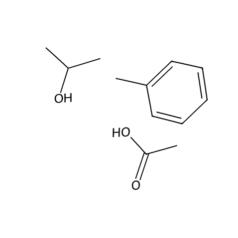 CC(=O)O.CC(C)O.Cc1ccccc1